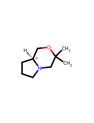 CC1(C)CN2CCC[C@H]2CO1